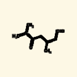 CC(CC=O)CC(=O)N(C)C